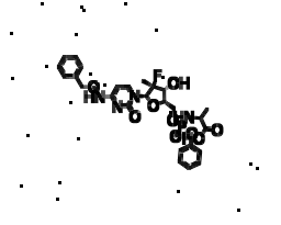 CC(NP(=O)(OC[C@H]1O[C@@H](n2ccc(NOCc3ccccc3)nc2=O)[C@](C)(F)[C@@H]1O)Oc1ccccc1)C(=O)O